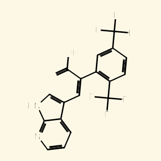 O=C(O)C(=Cc1c[nH]c2ncccc12)c1cc(C(F)(F)F)ccc1C(F)(F)F